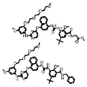 COCCOCCOCCOc1cc(Nc2nccc(Oc3ccc(NC(=O)Nc4cc(C(C)(C)C)cc(C(=O)NCC(=O)OC)c4OC)c4ccccc34)n2)cc(OC)c1.COCCOCCOCCOc1cc(Nc2nccc(Oc3ccc(NC(=O)Nc4cc(C(C)(C)C)cc(C(=O)NCc5ccccc5)c4OC)c4ccccc34)n2)cc(OC)c1